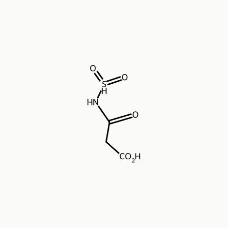 O=C(O)CC(=O)N[SH](=O)=O